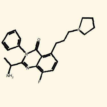 CC(N)c1nc2c(F)ccc(CCCN3CCCC3)c2c(=O)n1-c1ccccc1